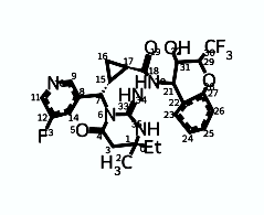 CC[C@@]1(C)CC(=O)N(C(c2cncc(F)c2)[C@@H]2C[C@H]2C(=O)NC2c3ccccc3OC(C(F)(F)F)C2O)C(=N)N1